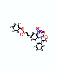 O=C(/[C]=C/c1ccc(N2C(=O)OC[C@H]2c2ccccc2)c([N+](=O)[O-])c1)Oc1ccccc1